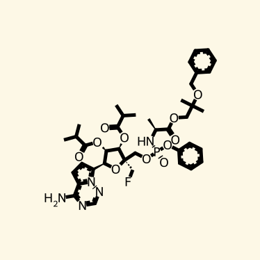 CC(C)C(=O)O[C@H]1[C@H](c2ccc3c(N)ncnn23)O[C@](CF)(COP(=O)(N[C@@H](C)C(=O)OCC(C)(C)OCc2ccccc2)Oc2ccccc2)[C@H]1OC(=O)C(C)C